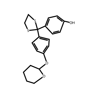 Oc1ccc(C2(c3ccc(OC4CCCCO4)cc3)SCCS2)cc1